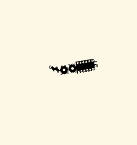 CCCC[C@H]1CC[C@H](C2CCC(C(F)(F)C(F)(F)C(F)(F)C(F)(F)C(F)(F)C(F)(F)F)CC2)CC1